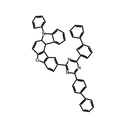 C1=CC2C(c3ccccc3N2c2ccccc2)c2c1oc1ccc(-c3nc(-c4ccc(-c5ccccc5)cc4)nc(-c4cccc(-c5ccccc5)c4)n3)cc21